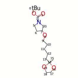 CC(C)(C)OC(=O)N1CCC(OCCCCCC2(C)OCCO2)C1